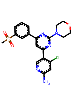 CS(=O)(=O)c1cccc(-c2cc(-c3cnc(N)cc3Cl)nc(N3CCOCC3)n2)c1